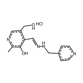 Cc1ncc(CO)c(C=NNCc2ccncc2)c1O.Cl